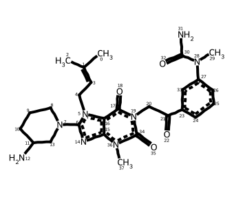 CC(C)=CCn1c(N2CCCC(N)C2)nc2c1c(=O)n(CC(=O)c1cccc(N(C)C(N)=O)c1)c(=O)n2C